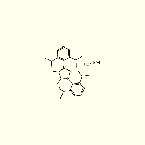 Br.Br.CC(C)c1cccc(C(C)C)c1[N]1[Ni][N](c2c(C(C)C)cccc2C(C)C)C(C)C1C